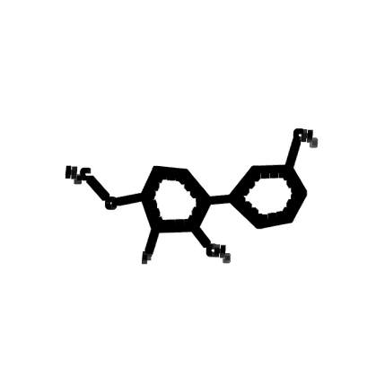 COc1ccc(-c2cccc(C)c2)c(C)c1F